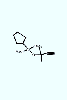 C#CC(C)(C)O[Si](OC)(OC)C1CCCC1